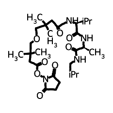 CC(C)CNC(=O)[C@H](C)NC(=O)[C@@H](NC(=O)CC(C)(C)COCC(C)(C)CC(=O)ON1C(=O)CCC1=O)C(C)C